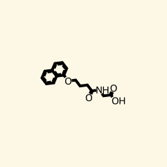 O=C(O)CNC(=O)CCCOc1cccc2ccccc12